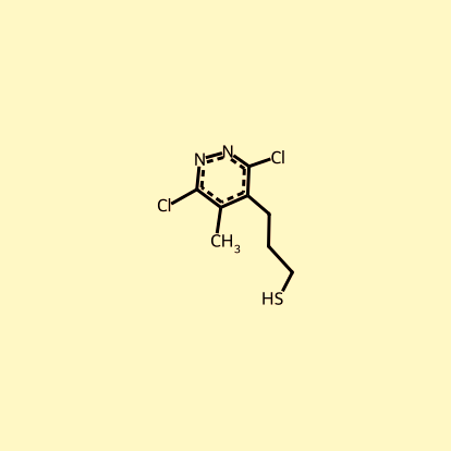 Cc1c(Cl)nnc(Cl)c1CCCS